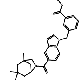 COC(=O)c1cccc(Cn2ccc3cc(C(=O)N4CC5(C)CC4CC(C)(C)C5)ccc32)c1